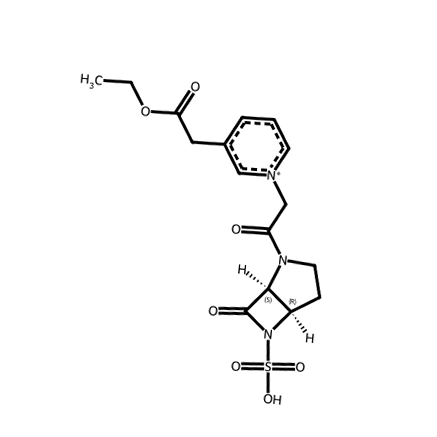 CCOC(=O)Cc1ccc[n+](CC(=O)N2CC[C@@H]3[C@H]2C(=O)N3S(=O)(=O)O)c1